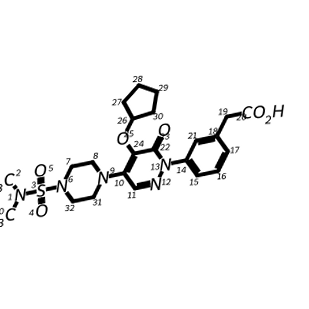 CN(C)S(=O)(=O)N1CCN(c2cnn(-c3cccc(CC(=O)O)c3)c(=O)c2OC2CCCC2)CC1